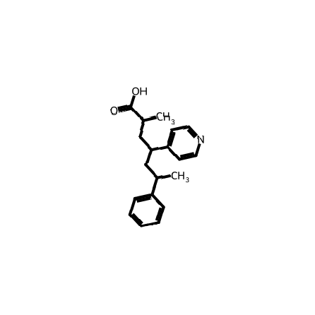 CC(CC(CC(C)c1ccccc1)c1ccncc1)C(=O)O